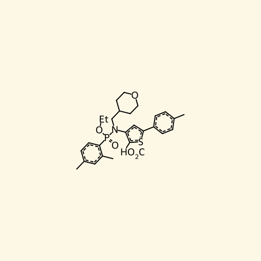 CCOP(=O)(c1ccc(C)cc1C)N(CC1CCOCC1)c1cc(-c2ccc(C)cc2)sc1C(=O)O